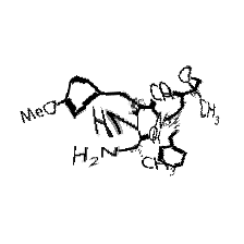 C=C(N[C@@H](Cc1ccccc1)C(=O)[C@@]1(C)CO1)[C@H](Cc1ccc(OC)cc1)NC(=O)[C@H](C)N